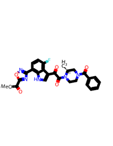 COC(=O)c1nc(-c2ccc(F)c3c(C(=O)C(=O)N4CCN(C(=O)c5ccccc5)C[C@H]4C)c[nH]c23)no1